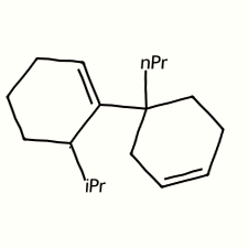 CCCC1(C2=CCCC[C]2C(C)C)CC=CCC1